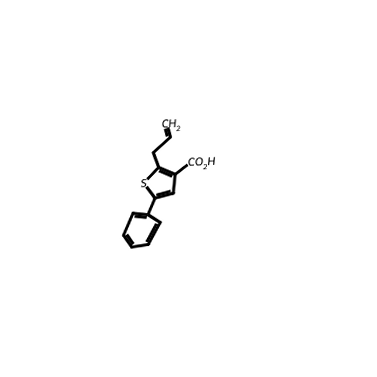 C=CCc1sc(-c2ccccc2)cc1C(=O)O